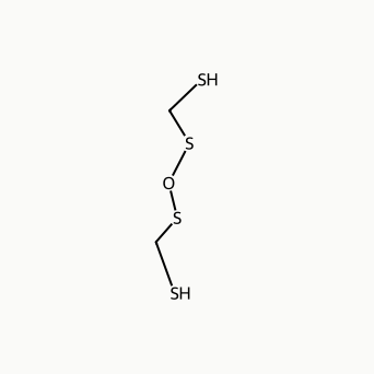 SCSOSCS